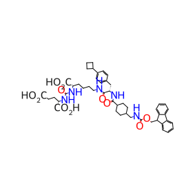 O=C(O)CC[C@H](NC(=O)N[C@@H](CCCCNC(=O)[C@H](Cc1ccc(C2CCC2)cc1)NC(=O)C1CCC(CNC(=O)OCC2c3ccccc3-c3ccccc32)CC1)C(=O)O)C(=O)O